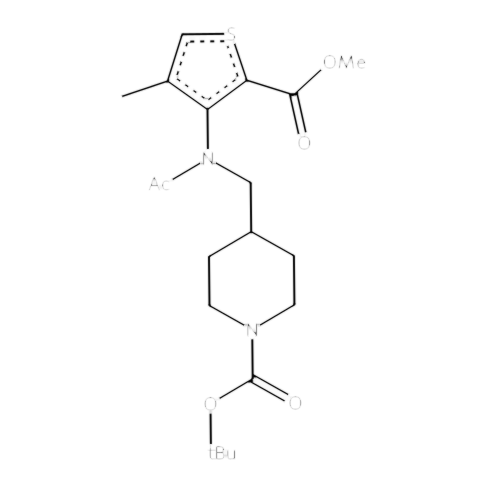 COC(=O)c1scc(C)c1N(CC1CCN(C(=O)OC(C)(C)C)CC1)C(C)=O